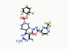 Cc1nc(N)nc(C2CCN(C(=O)Oc3c(F)cccc3F)CC2)c1-c1nnc(-c2ccnc(C(F)(F)F)n2)o1